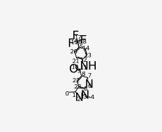 Cc1nn(C)c2ncc(C(=O)Nc3ccc(C(F)(F)F)cc3)cc12